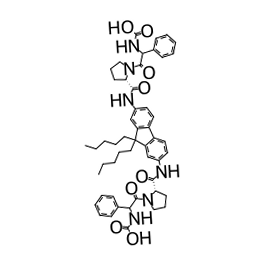 CCCCCC1(CCCCC)c2cc(NC(=O)[C@@H]3CCCN3C(=O)C(NC(=O)O)c3ccccc3)ccc2-c2ccc(NC(=O)[C@@H]3CCCN3C(=O)C(NC(=O)O)c3ccccc3)cc21